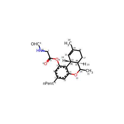 CCCCCc1cc(OC(=O)CNC=O)c2c(c1)OC(C)[C@@H]1CCC(C)=C[C@@H]21